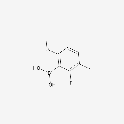 COc1ccc(C)c(F)c1B(O)O